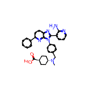 CN(Cc1ccc(-n2c(-c3cccnc3N)nc3ccc(-c4ccccc4)nc32)cc1)[C@H]1CC[C@H](C(=O)O)CC1